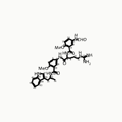 COc1ccc(NC(=O)C(CCCNC(=N)N)NC(=O)c2cc(NC=O)ccc2OC)cc1C(=O)NC(C)Cc1c[nH]c2ccccc12